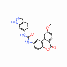 COc1ccc2c(=O)oc3ccc(NC(=O)Nc4ccc5cn[nH]c5c4)cc3c2c1